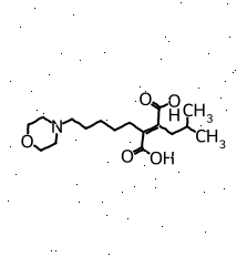 CC(C)C/C(C(=O)O)=C(/CCCCCN1CCOCC1)C(=O)O